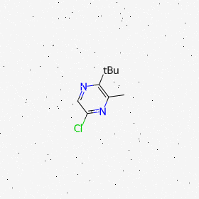 Cc1nc(Cl)cnc1C(C)(C)C